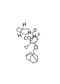 O=C(O)[C@@H]1[C@H]2CC[C@H]2CN1C(=O)c1cc(C2CC2)c(OCC23CC4CC(CC(C4)C2)C3)cc1F